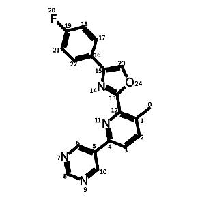 Cc1ccc(-c2cncnc2)nc1-c1nc(-c2ccc(F)cc2)co1